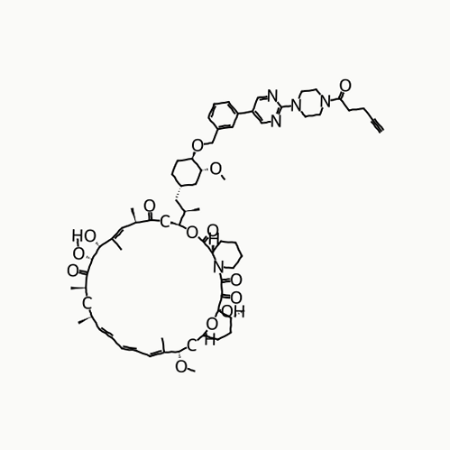 C#CCCC(=O)N1CCN(c2ncc(-c3cccc(CO[C@@H]4CC[C@@H](C[C@@H](C)[C@@H]5CC(=O)[C@H](C)/C=C(\C)[C@@H](O)[C@@H](OC)C(=O)[C@H](C)C[C@H](C)/C=C/C=C/C=C(\C)[C@@H](OC)C[C@@H]6CC[C@@H](C)[C@@](O)(O6)C(=O)C(=O)N6CCCC[C@H]6C(=O)O5)C[C@H]4OC)c3)cn2)CC1